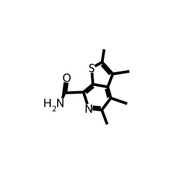 Cc1nc(C(N)=O)c2sc(C)c(C)c2c1C